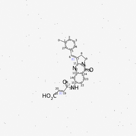 Cc1cccc(/C=C2\CCn3c2nc2cc(NC(=O)/C=C/C(=O)O)ccc2c3=O)c1